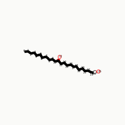 CCCCCCCCCCCC(=O)[CH]CCCCCCCCCC=C=O